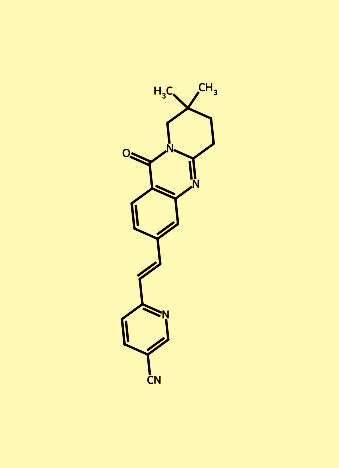 CC1(C)CCc2nc3cc(/C=C/c4ccc(C#N)cn4)ccc3c(=O)n2C1